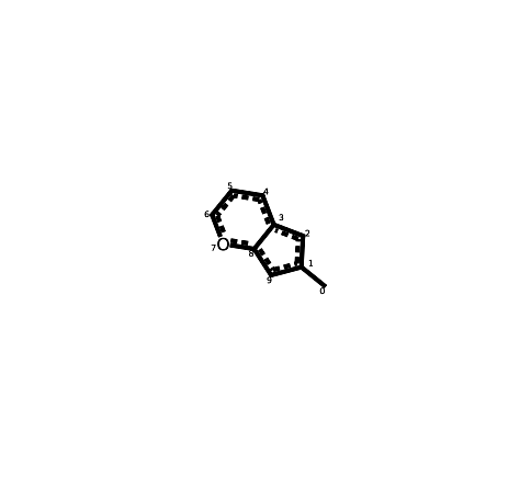 Cc1cc2cccoc-2c1